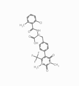 Cc1cccc(Cl)c1C(=O)N[C@@H](Cc1ccc(-c2c(C(F)(F)F)n(C)c(=O)n(C)c2=O)cc1)C(=O)O